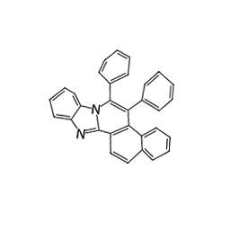 c1ccc(-c2c(-c3ccccc3)n3c4ccccc4nc3c3ccc4ccccc4c23)cc1